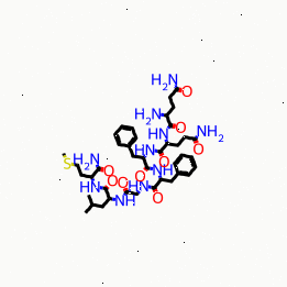 CSCCC(NC(=O)C(CC(C)C)NC(=O)CNC(=O)C(Cc1ccccc1)NC(=O)C(Cc1ccccc1)NC(=O)C(CCC(N)=O)NC(=O)C(N)CCC(N)=O)C(N)=O